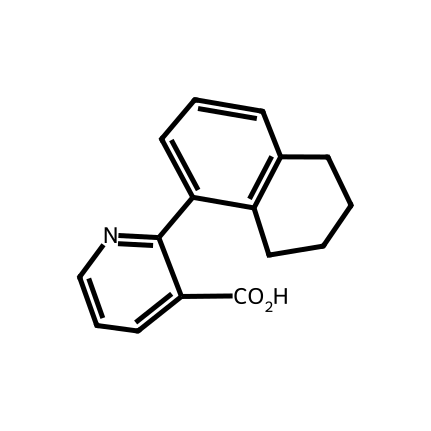 O=C(O)c1cccnc1-c1cccc2c1CCCC2